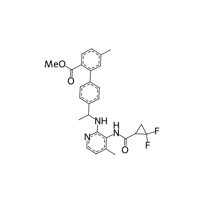 COC(=O)c1ccc(C)cc1-c1ccc(C(C)Nc2nccc(C)c2NC(=O)C2CC2(F)F)cc1